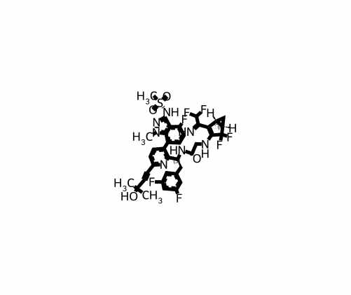 Cn1nc(NS(C)(=O)=O)c2c(F)ccc(-c3ccc(C#CC(C)(C)O)nc3[C@H](Cc3cc(F)cc(F)c3)NC(=O)CNC3=C(C(=N)C(F)F)[C@H]4C[C@H]4C3(F)F)c21